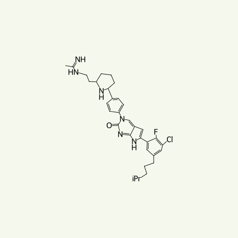 CC(=N)NCCC1CCCC(c2ccc(-n3cc4cc(-c5cc(CCCC(C)C)cc(Cl)c5F)[nH]c4nc3=O)cc2)N1